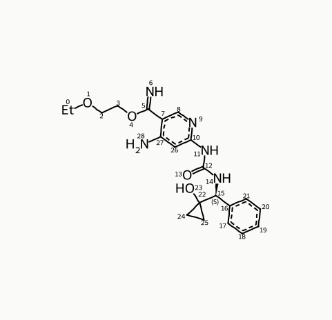 CCOCCOC(=N)c1cnc(NC(=O)N[C@@H](c2ccccc2)C2(O)CC2)cc1N